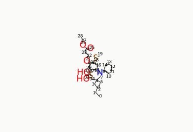 CCCCC1(CC)CN(c2ccccc2)c2cc(SC)c(OCCC(=O)OCC)cc2S(O)(O)C1